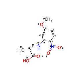 COc1ccc([N+](=O)[O-])c(NCC(C)C(=O)O)c1